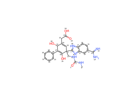 CNC(=O)NCC1(c2nc3cc(C(=N)N)ccc3[nH]2)C=C(CC(=O)O)C(O)C(c2ccccc2)=C1O